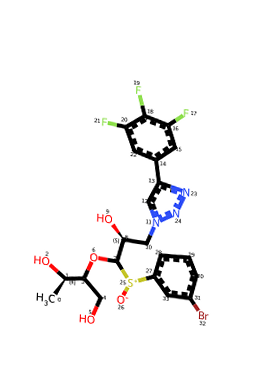 C[C@@H](O)C(CO)OC([C@@H](O)Cn1cc(-c2cc(F)c(F)c(F)c2)nn1)[S+]([O-])c1cccc(Br)c1